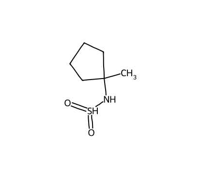 CC1(N[SH](=O)=O)CCCC1